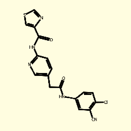 N#Cc1cc(NC(=O)Cc2ccc(NC(=O)c3cscn3)nc2)ccc1Cl